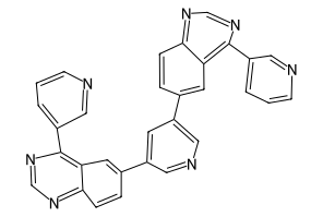 c1cncc(-c2ncnc3ccc(-c4cncc(-c5ccc6ncnc(-c7cccnc7)c6c5)c4)cc23)c1